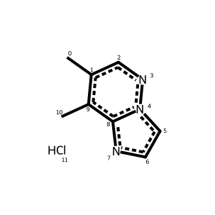 Cc1cnn2ccnc2c1C.Cl